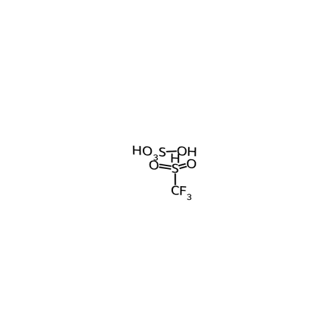 O=S(=O)(O)O.O=[SH](=O)C(F)(F)F